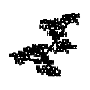 CCCCCCCCON1C(C)(C)CC(CCCCNc2nc(NC3CC(C)(C)N(OCCCCCCCC)C(C)(C)C3)nc(N(CCCCCCN(c3nc(NCCCCC4CC(C)(C)N(OCCCCCCCC)C(C)(C)C4)nc(NC4CC(C)(C)N(OCCCCCCCC)C(C)(C)C4)n3)C3CC(C)(C)N(OCCCCCCCC)C(C)(C)C3)C3CC(C)(C)N(OCCCCCCCC)C(C)(C)C3)n2)CC1(C)C